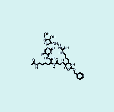 CC(=O)NCCCCC(NC(=O)CNC(=O)C(CCCNC(=N)N)NC(=O)OCc1ccccc1)C(=O)Nc1nc(=O)n([C@@H]2O[C@H](CO)C(O)C2O)cc1F